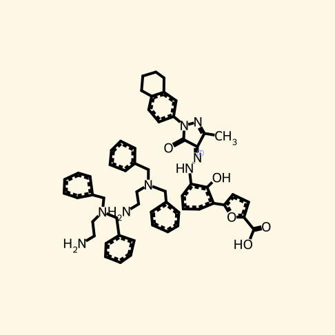 CC1=NN(c2ccc3c(c2)CCCC3)C(=O)/C1=N\Nc1cccc(-c2ccc(C(=O)O)o2)c1O.NCCN(Cc1ccccc1)Cc1ccccc1.NCCN(Cc1ccccc1)Cc1ccccc1